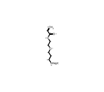 C=CC(=O)OCCOCCCCCCCCCC